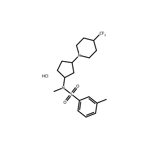 Cc1cccc(S(=O)(=O)N(C)C2CCC(N3CCC(C(F)(F)F)CC3)C2)c1.Cl